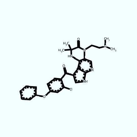 CN(C)CCN1C(=O)C(C)(C)Nc2c1cnc1[nH]cc(C(=O)c3ccc(Oc4ccccc4)cc3Cl)c21